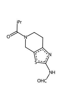 CC(C)C(=O)N1CCc2nc(NC=O)sc2C1